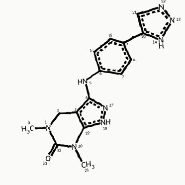 CN1Cc2c(Nc3ccc(-c4cnn[nH]4)cc3)n[nH]c2N(C)C1=O